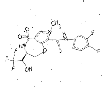 Cn1cc2c(c1C(=O)Nc1ccc(F)c(F)c1)OC[C@@H](C(O)C(F)(F)F)NS2(=O)=O